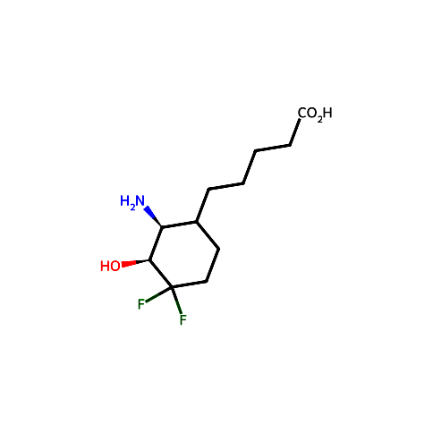 N[C@H]1C(CCCCC(=O)O)CCC(F)(F)[C@H]1O